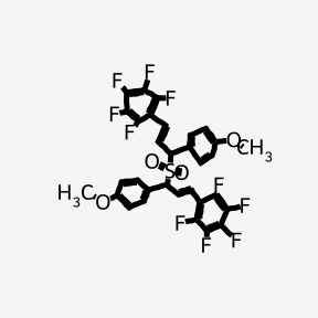 COc1ccc(C(C=Cc2c(F)c(F)c(F)c(F)c2F)S(=O)(=O)C(C=Cc2c(F)c(F)c(F)c(F)c2F)c2ccc(OC)cc2)cc1